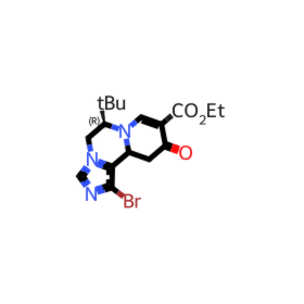 CCOC(=O)C1=CN2C(CC1=O)c1c(Br)ncn1C[C@H]2C(C)(C)C